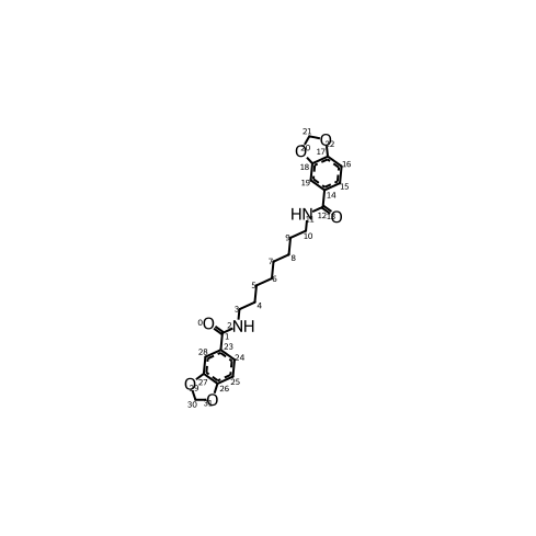 O=C(NCCCCCCCCNC(=O)c1ccc2c(c1)OCO2)c1ccc2c(c1)OCO2